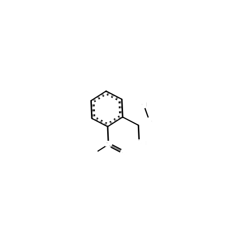 CO.O=[N+]([O-])c1ccccc1CO